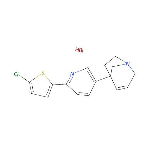 Br.Clc1ccc(-c2ccc(C34C=CCN(CC3)C4)cn2)s1